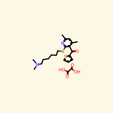 Cc1cc(C)c(C(=O)c2cccs2)c(SCCCCCCN(C)C)n1.O=C(O)C(=O)O